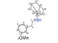 COc1cccc(CCNC2C3CC4CC(C3)CC2C4)c1